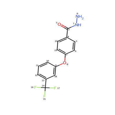 NNC(=O)c1ccc(Oc2cccc(C(F)(F)F)c2)cc1